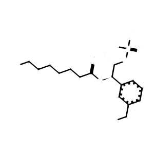 CCCCCCCC(=O)N[C@H](c1cccc(CO)c1)[C@H](C)OP(=O)(O)O